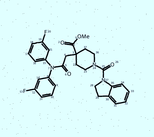 COC(=O)C1(CC(=O)N(c2cccc(F)c2)c2cccc(F)c2)CCN(C(=O)N2CCc3ccccc32)CC1